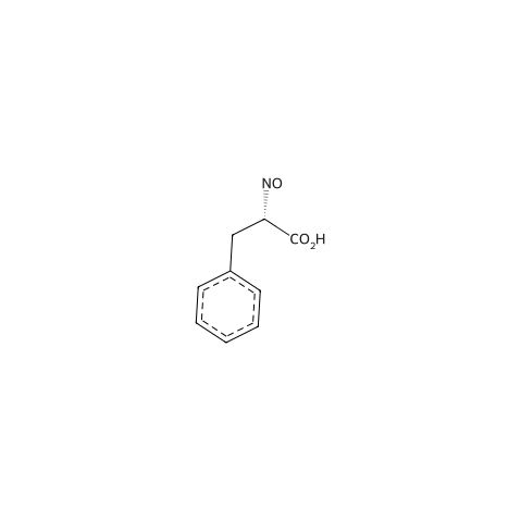 O=N[C@@H](Cc1ccccc1)C(=O)O